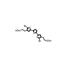 CCCCCCCCCCCCc1cc(-c2ccc(-c3cc(CCCCCCCCCCCC)c(Br)s3)s2)sc1Br